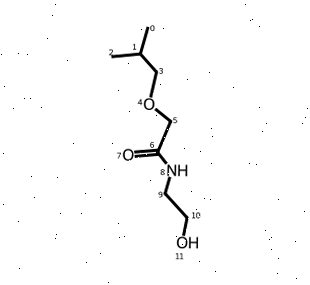 CC(C)COCC(=O)NCCO